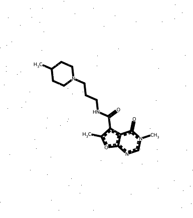 Cc1oc2ncn(C)c(=O)c2c1C(=O)NCCCN1CCC(C)CC1